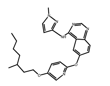 CCCCC(C)CCOc1ccc(Oc2ccc3ncnc(Nc4ccn(C)n4)c3c2)nc1